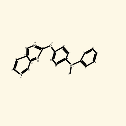 CN(c1ccccc1)c1ccc(Oc2ncc3ccncc3n2)cc1